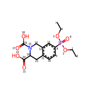 CCOP(=O)(OCC)c1ccc2c(c1)CN(C(=O)O)C(C(=O)O)C2